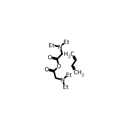 C=CC=C.CCN(CC)CC(=O)OC(=O)CN(CC)CC